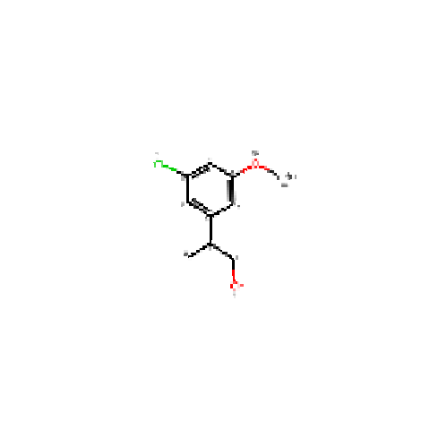 [CH2]C(CO)c1cc(Cl)cc(OCCCC)c1